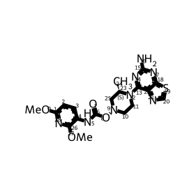 COc1ccc(NC(=O)ON2CCN(c3nc(N)nc4scnc34)[C@@H](C)C2)c(OC)n1